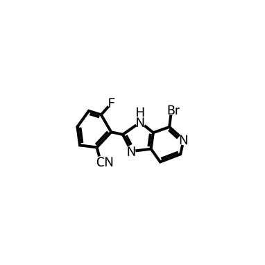 N#Cc1cccc(F)c1-c1nc2ccnc(Br)c2[nH]1